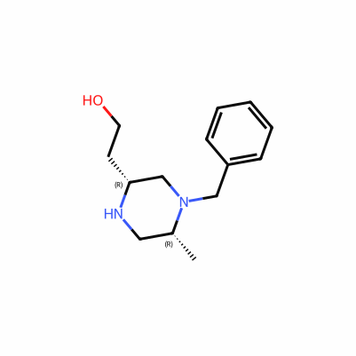 C[C@@H]1CN[C@H](CCO)CN1Cc1ccccc1